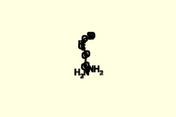 CC1(C)CC[Si](C)(CCCOc2ccc(C(F)(F)Oc3ccc(C=CC(=O)OCCCCCCOC(=O)c4cc(N)cc(N)c4)cc3)cc2)[Si](C)(C)O1